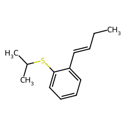 CC/C=C/c1ccccc1SC(C)C